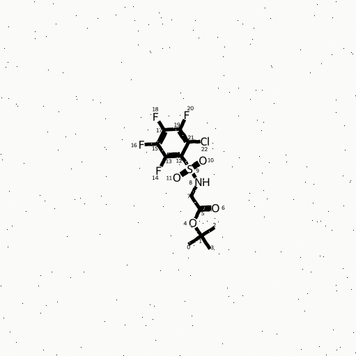 CC(C)(C)OC(=O)CNS(=O)(=O)c1c(F)c(F)c(F)c(F)c1Cl